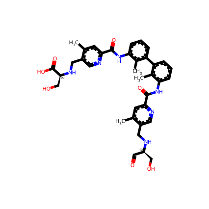 Cc1cc(C(=O)Nc2cccc(-c3cccc(NC(=O)c4cc(C)c(CN[C@@H](CO)C(=O)O)cn4)c3C)c2C)ncc1CN[C@H](C=O)CO